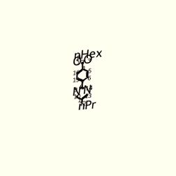 CCCCCCOC(=O)c1ccc(-c2ncc(CCC)cn2)cc1